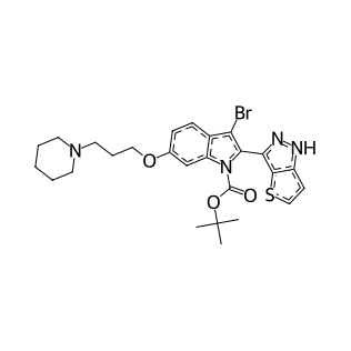 CC(C)(C)OC(=O)n1c(-c2n[nH]c3ccsc23)c(Br)c2ccc(OCCCN3CCCCC3)cc21